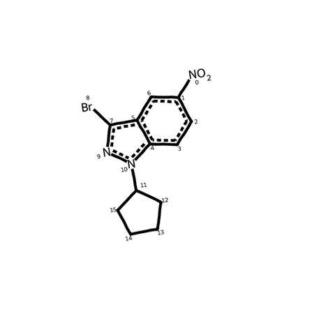 O=[N+]([O-])c1ccc2c(c1)c(Br)nn2C1CCCC1